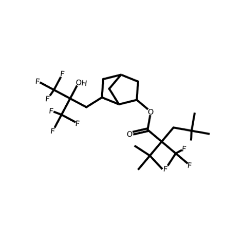 CC(C)(C)CC(C(=O)OC1CC2CC(CC(O)(C(F)(F)F)C(F)(F)F)C1C2)(C(C)(C)C)C(F)(F)F